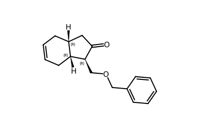 O=C1C[C@H]2CC=CC[C@H]2[C@@H]1COCc1ccccc1